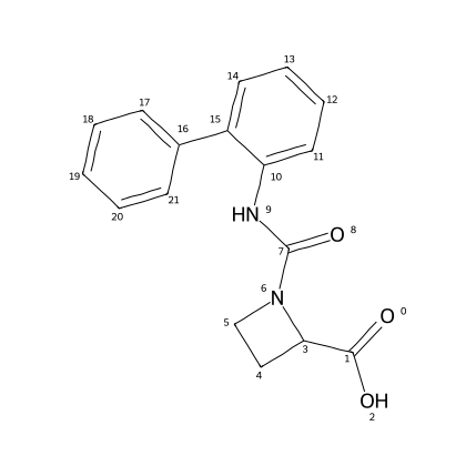 O=C(O)C1CCN1C(=O)Nc1ccccc1-c1ccccc1